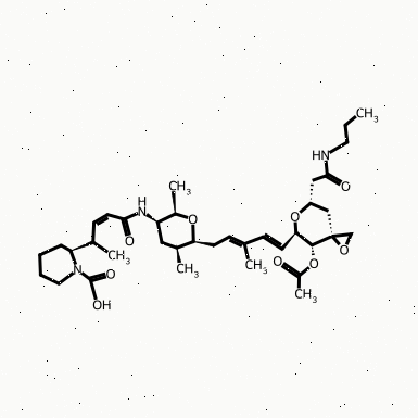 CCCNC(=O)C[C@@H]1C[C@@]2(CO2)[C@H](OC(C)=O)[C@@H](/C=C/C(C)=C/C[C@@H]2O[C@H](C)[C@H](NC(=O)/C=C\C(C)[C@@H]3CCCCN3C(=O)O)C[C@@H]2C)O1